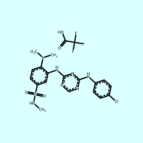 CNS(=O)(=O)c1ccc(N(C)C)c(Nc2ncnc(Nc3ccc(Cl)cc3)n2)c1.O=C(O)C(F)(F)F